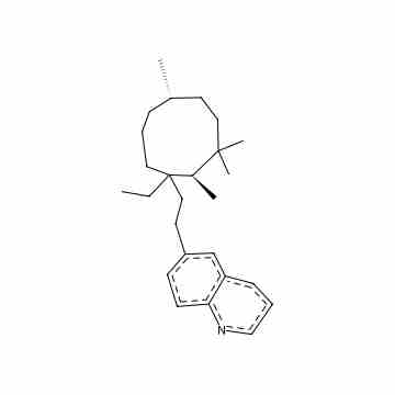 CCC1(CCc2ccc3ncccc3c2)CCC[C@H](C)CCC(C)(C)[C@H]1C